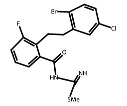 CSC(=N)NC(=O)c1cccc(F)c1CCc1cc(Cl)ccc1Br